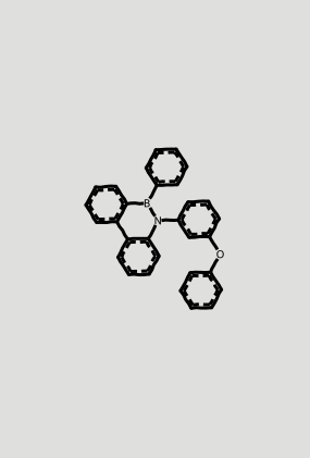 c1ccc(Oc2cccc(N3B(c4ccccc4)c4ccccc4-c4ccccc43)c2)cc1